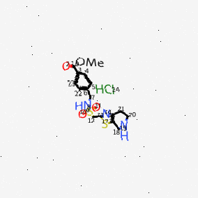 COC(=O)c1ccc(CNS(=O)(=O)Cc2nc3c(s2)CNCC3)cc1.Cl